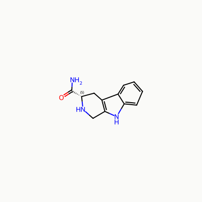 NC(=O)[C@@H]1Cc2c([nH]c3ccccc23)CN1